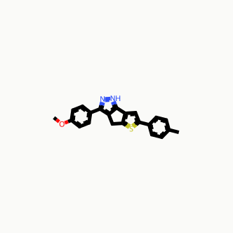 COc1ccc(-c2n[nH]c3c2Cc2sc(-c4ccc(C)cc4)cc2-3)cc1